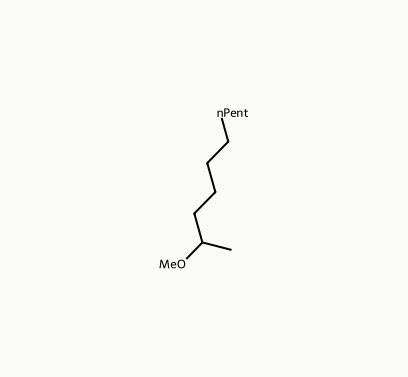 CCCCCCCCCC(C)OC